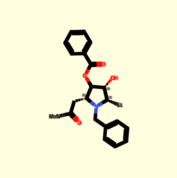 CC[C@@H]1[C@@H](O)C(OC(=O)c2ccccc2)[C@@H](CC(=O)NC)N1Cc1ccccc1